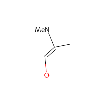 CN/C(C)=C/[O]